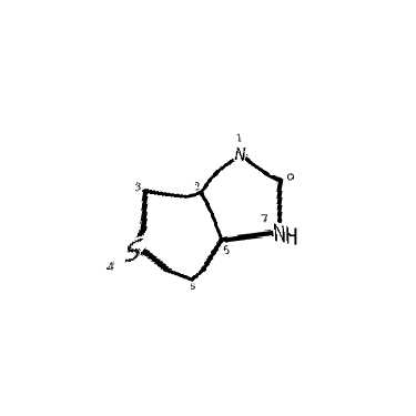 C1[N]C2CSCC2N1